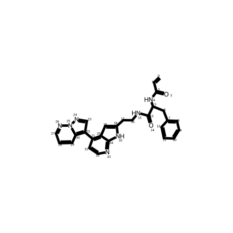 C=CC(=O)NC(Cc1ccccc1)C(=O)NCCc1cc2c(-c3cnn4ncccc34)ccnc2[nH]1